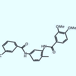 COc1ccc(C(=O)Nc2cc(NC(=O)c3cccc(C(F)(F)F)c3)ccc2C)cc1OC